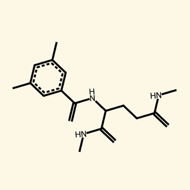 C=C(CCC(NC(=C)c1cc(C)cc(C)c1)C(=C)NC)NC